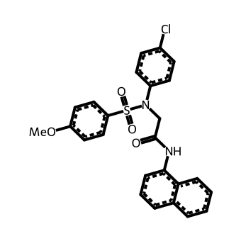 COc1ccc(S(=O)(=O)N(CC(=O)Nc2cccc3ccccc23)c2ccc(Cl)cc2)cc1